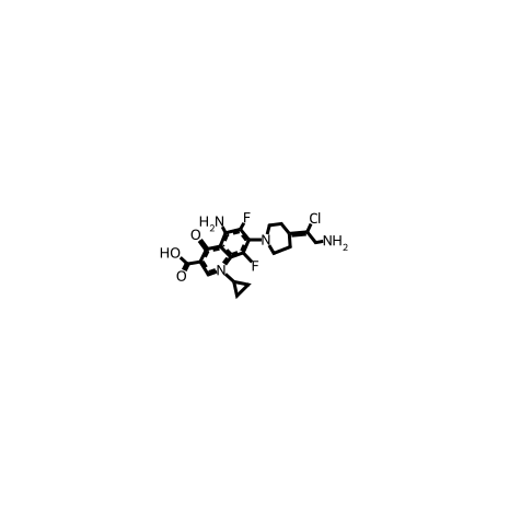 NCC(Cl)=C1CCN(c2c(F)c(N)c3c(=O)c(C(=O)O)cn(C4CC4)c3c2F)CC1